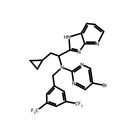 FC(F)(F)c1cc(CN(c2ncc(Br)cn2)C(CC2CC2)c2nc3ncccc3[nH]2)cc(C(F)(F)F)c1